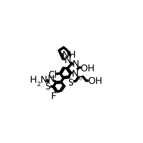 Nc1nc2c(-c3c(Cl)cc4c5c3SC[C@H](CCO)N5C(O)N=C4N3CC4CCC(C3)N4)ccc(F)c2s1